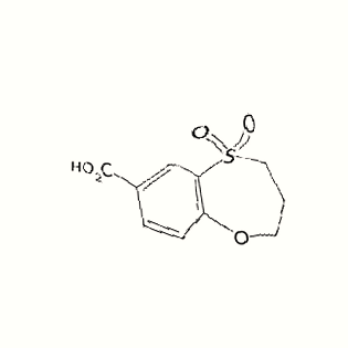 O=C(O)c1ccc2c(c1)S(=O)(=O)CCCO2